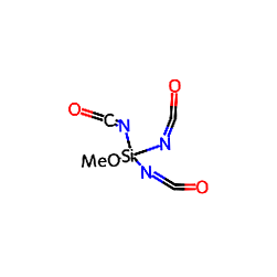 CO[Si](N=C=O)(N=C=O)N=C=O